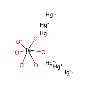 [Hg+].[Hg+].[Hg+].[Hg+].[Hg+].[Hg+].[O-][Te]([O-])([O-])([O-])([O-])[O-]